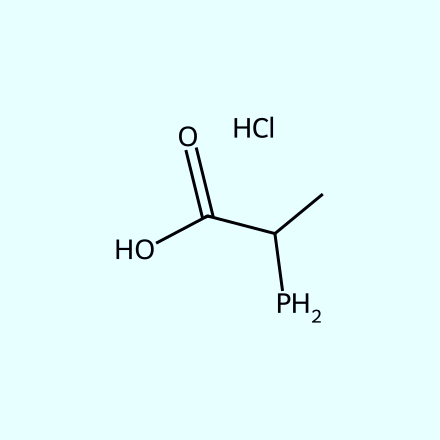 CC(P)C(=O)O.Cl